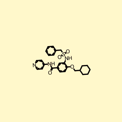 O=C(Nc1ccncc1)c1ccc(OCC2CCCCC2)c(NS(=O)(=O)Cc2ccccc2)c1